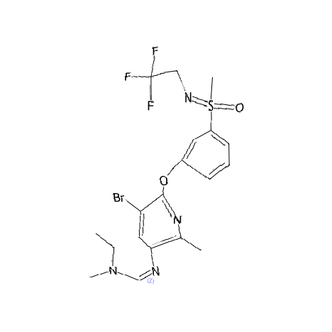 CCN(C)/C=N\c1cc(Br)c(Oc2cccc(S(C)(=O)=NCC(F)(F)F)c2)nc1C